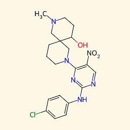 CN1CCC(O)C2(CCCN(c3nc(Nc4ccc(Cl)cc4)ncc3[N+](=O)[O-])C2)C1